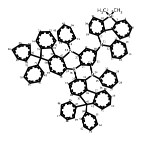 C[Si]1(C)c2ccccc2-c2c(N(c3ccccc3)c3cc4c5c(c3)N(c3ccccc3)c3c(ccc6c3-c3ccccc3C6(c3ccccc3)c3ccccc3)B5c3ccc5c(c3N4c3ccccc3)-c3ccccc3C5(c3ccccc3)c3ccccc3)cccc21